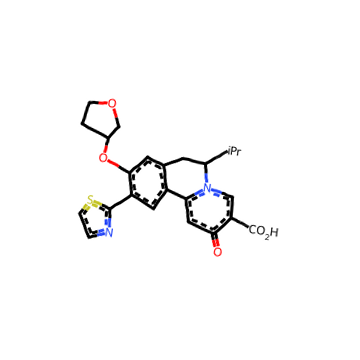 CC(C)C1Cc2cc(OC3CCOC3)c(-c3nccs3)cc2-c2cc(=O)c(C(=O)O)cn21